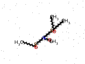 CCCCCCCCCC(=O)SCCCCCCN(CCCCCCSC(=O)C(CCCCCCCC)CCCCCCCC)CCCOC